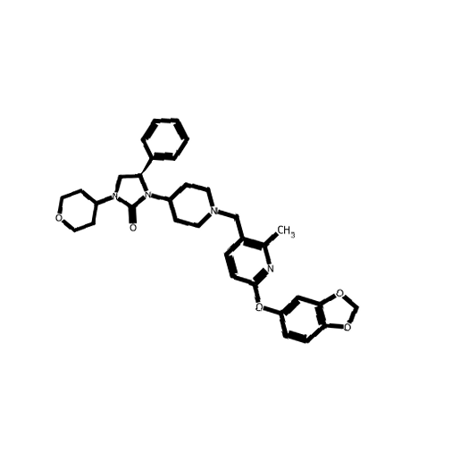 Cc1nc(Oc2ccc3c(c2)OCO3)ccc1CN1CCC(N2C(=O)N(C3CCOCC3)C[C@H]2c2ccccc2)CC1